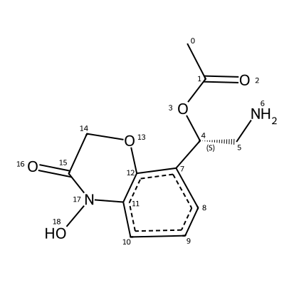 CC(=O)O[C@H](CN)c1cccc2c1OCC(=O)N2O